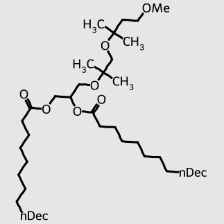 CCCCCCCCCCCCCCCCCC(=O)OCC(COC(C)(C)COC(C)(C)CCOC)OC(=O)CCCCCCCCCCCCCCCCC